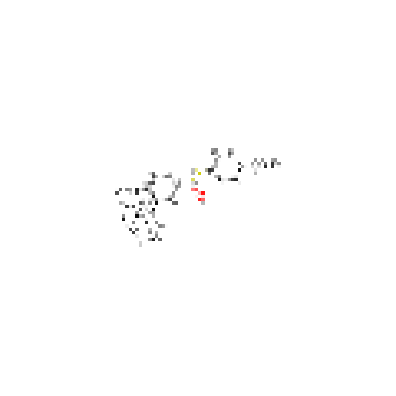 CCOC(=O)c1ccc(SC(=O)c2ccc(OC)c(C34CC5CC(CC(C5)C3)C4)c2)cc1